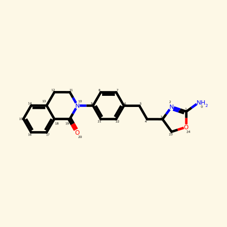 NC1=NC(CCc2ccc(N3CCc4ccccc4C3=O)cc2)CO1